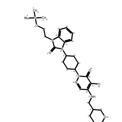 CC(C)(C)[Si](C)(C)OCCn1c(=O)n(C2CCC(n3ncc(NCC4CCCOC4)c(Cl)c3=O)CC2)c2ccccc21